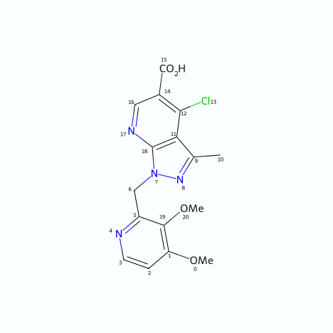 COc1ccnc(Cn2nc(C)c3c(Cl)c(C(=O)O)cnc32)c1OC